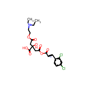 CCN(CC)CCOC(=O)CC(O)(CC(=O)OC(=O)/C=C/c1ccc(Cl)cc1Cl)C(=O)O